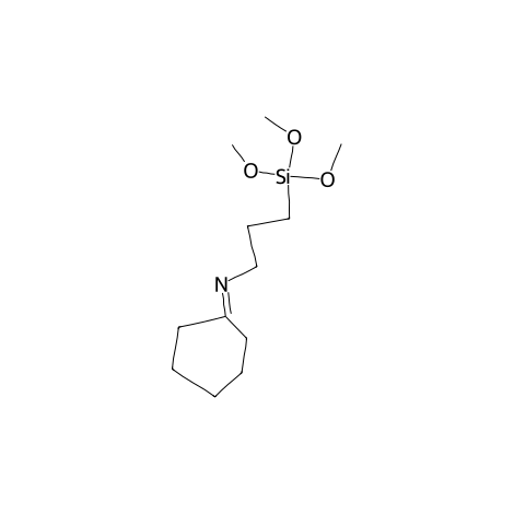 CO[Si](CCCN=C1CCCCC1)(OC)OC